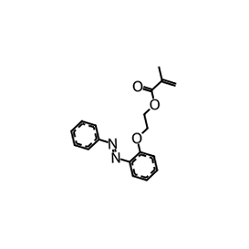 C=C(C)C(=O)OCCOc1ccccc1N=Nc1ccccc1